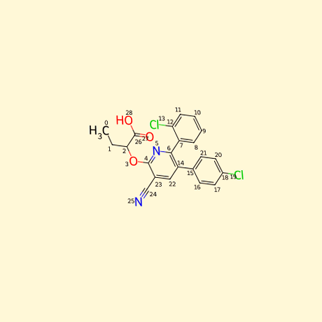 CCC(Oc1nc(-c2ccccc2Cl)c(-c2ccc(Cl)cc2)cc1C#N)C(=O)O